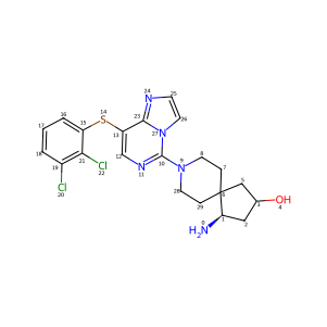 N[C@@H]1CC(O)CC12CCN(c1ncc(Sc3cccc(Cl)c3Cl)c3nccn13)CC2